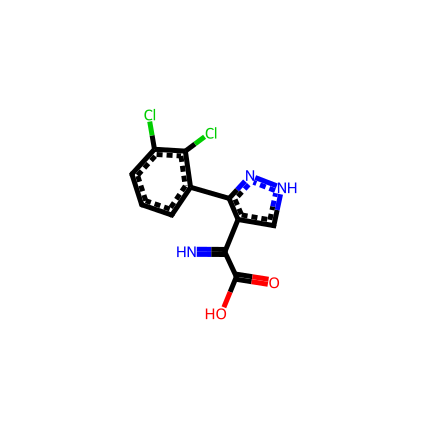 N=C(C(=O)O)c1c[nH]nc1-c1cccc(Cl)c1Cl